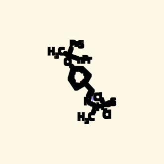 CCCC(C)(Oc1ccc(/C=N/N(C)P(=S)(Cl)Cl)cc1)P=S